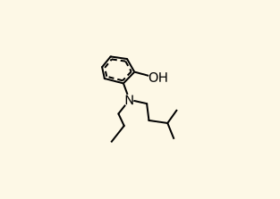 CCCN(CCC(C)C)c1ccccc1O